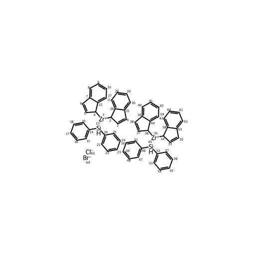 C1=C[CH]([Zr+]([CH]2C=Cc3ccccc32)[SiH](c2ccccc2)c2ccccc2)c2ccccc21.C1=C[CH]([Zr+]([CH]2C=Cc3ccccc32)[SiH](c2ccccc2)c2ccccc2)c2ccccc21.[Br-].[Cl-]